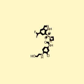 O=C(Nc1ccc(NCCO)c(Cl)c1)[C@H]1CCN1S(=O)(=O)c1cc(C(F)F)cc2cn[nH]c12